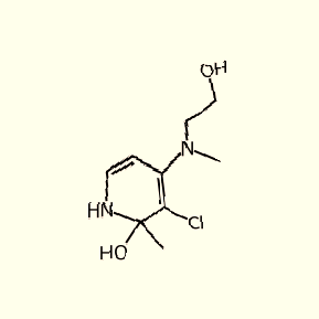 CN(CCO)C1=C(Cl)C(C)(O)NC=C1